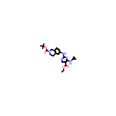 CCOC(=O)c1cnc(Nc2ccc3c(c2)CCN(C(=O)OC(C)(C)C)C3)nc1NC1CC1